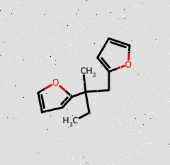 CCC(C)(Cc1ccco1)c1ccco1